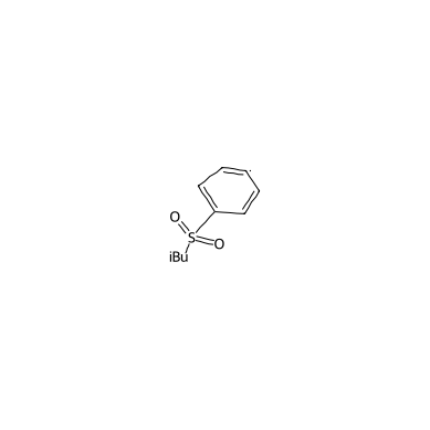 CCC(C)S(=O)(=O)c1cc[c]cc1